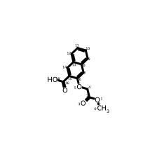 COC(=O)COc1cc2ccccc2cc1C(=O)O